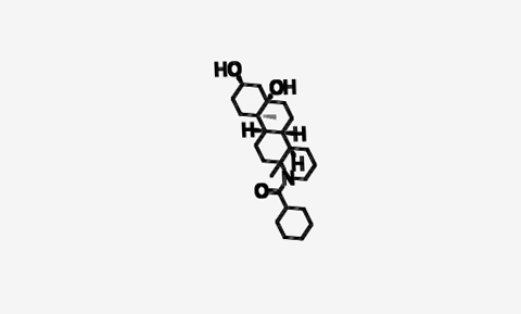 CC12CC[C@H]3[C@H](CC[C@@]4(O)C[C@H](O)CC[C@]34C)[C@@H]1CCCN2C(=O)C1CCCCC1